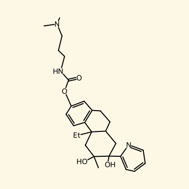 CCC12CC(C)(O)C(O)(c3ccccn3)CC1CCc1cc(OC(=O)NCCCN(C)C)ccc12